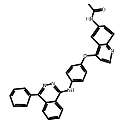 CC(=O)Nc1ccc2nccc(Oc3ccc(Nc4nnc(-c5ccccc5)c5ccccc45)cc3)c2c1